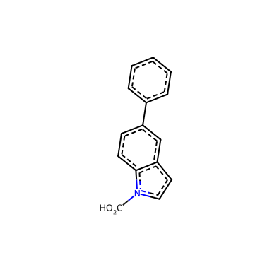 O=C(O)n1ccc2cc(-c3ccccc3)ccc21